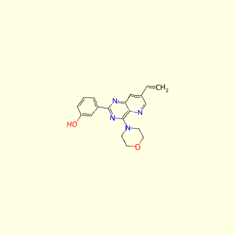 C=Cc1cnc2c(N3CCOCC3)nc(-c3cccc(O)c3)nc2c1